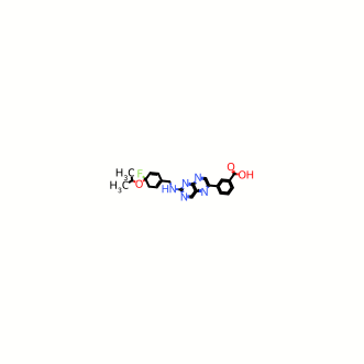 CC(C)OC1(F)C=CC(CNc2ncc3nc(-c4cccc(C(=O)O)c4)cnc3n2)=CC1